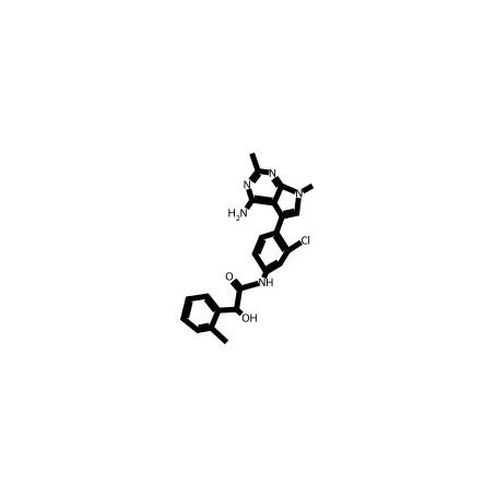 Cc1nc(N)c2c(-c3ccc(NC(=O)C(O)c4ccccc4C)cc3Cl)cn(C)c2n1